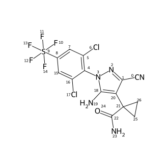 N#Cc1nn(-c2c(Cl)cc(S(F)(F)(F)(F)F)cc2Cl)c(N)c1C1(C(N)=O)CC1